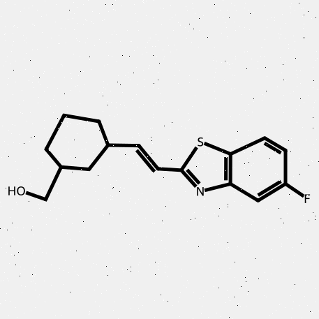 OCC1CCCC(C=Cc2nc3cc(F)ccc3s2)C1